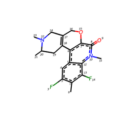 Cc1c(F)cc2c3c(c(=O)n(C)c2c1F)OCC1=C3CC(C)N(C)C1